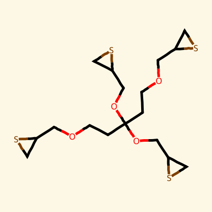 C(CC(CCOCC1CS1)(OCC1CS1)OCC1CS1)OCC1CS1